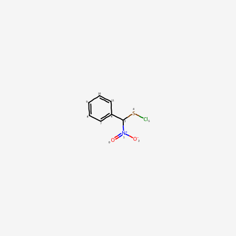 O=[N+]([O-])C(SCl)c1ccccc1